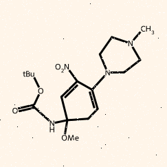 COC1(NC(=O)OC(C)(C)C)C=C([N+](=O)[O-])C(N2CCN(C)CC2)=CC1